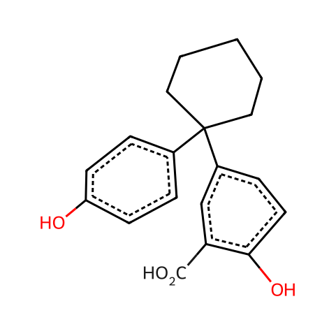 O=C(O)c1cc(C2(c3ccc(O)cc3)CCCCC2)ccc1O